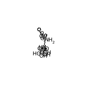 N[C@@H](CCCCNC(=O)C(F)(F)[C@]1(O)O[C@H](CO)[C@H](O)[C@H](O)[C@H]1O)C(=O)N1CCC[C@H]1C(=O)OCc1ccccc1